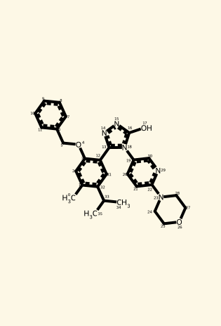 Cc1cc(OCc2ccccc2)c(-c2nnc(O)n2-c2ccc(N3CCOCC3)nc2)cc1C(C)C